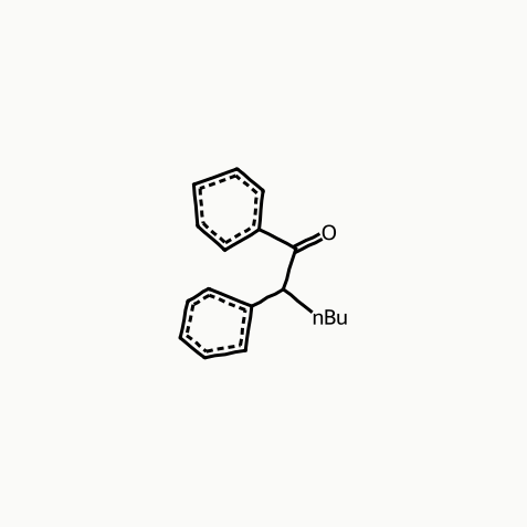 CCCCC(C(=O)c1ccccc1)c1ccccc1